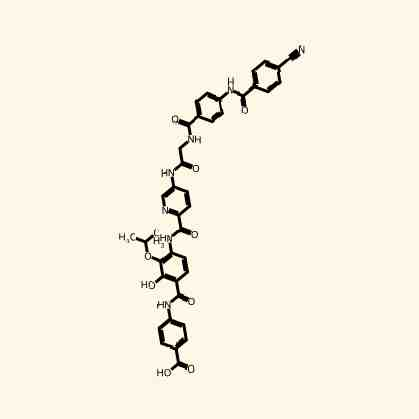 CC(C)Oc1c(NC(=O)c2ccc(NC(=O)CNC(=O)c3ccc(NC(=O)c4ccc(C#N)cc4)cc3)cn2)ccc(C(=O)Nc2ccc(C(=O)O)cc2)c1O